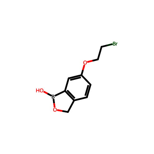 OB1OCc2ccc(OCCBr)cc21